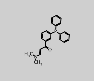 CN(C)/C=C/C(=O)c1cccc(P(c2ccccc2)c2ccccc2)c1